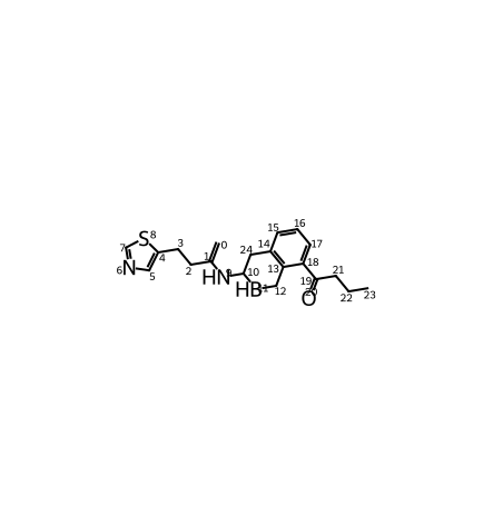 C=C(CCc1cncs1)NC1BCc2c(cccc2C(=O)CCC)C1